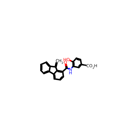 C=C1c2ccccc2-c2cccc(C(=O)Nc3cc(C(=O)O)ccc3O)c21